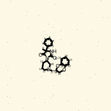 CC1(c2ccccc2)NC(=O)N([C@H]2CCCN(C[C@H]3COc4ccccc4O3)C2)C1=O